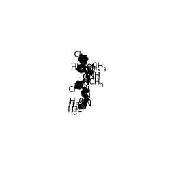 COCC(NC(=O)C(C)NCc1ccc(Cl)cc1Oc1ccc(-c2cnc(CN(C)C)n2C)nc1)C(=O)N(C)[C@@]1(Cc2ccc(Cl)cc2)CCCNC1